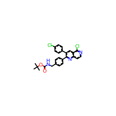 CC(C)(C)OC(=O)NCc1ccc(-c2nc3ccnc(Cl)c3cc2-c2ccc(Cl)cc2)cc1